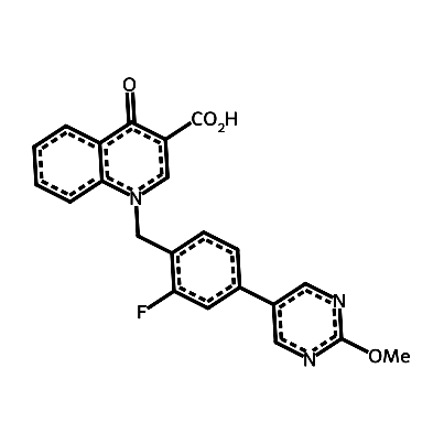 COc1ncc(-c2ccc(Cn3cc(C(=O)O)c(=O)c4ccccc43)c(F)c2)cn1